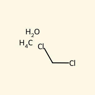 C.ClCCl.O